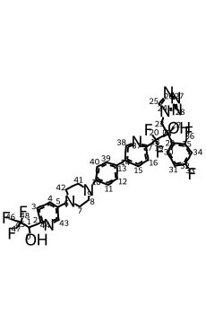 OC(c1ccc(N2CCN(c3ccc(-c4ccc(C(F)(F)[C@](O)(Cn5cnnn5)c5ccc(F)cc5F)nc4)cc3)CC2)cn1)C(F)(F)F